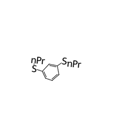 CCCSc1cccc(SCCC)c1